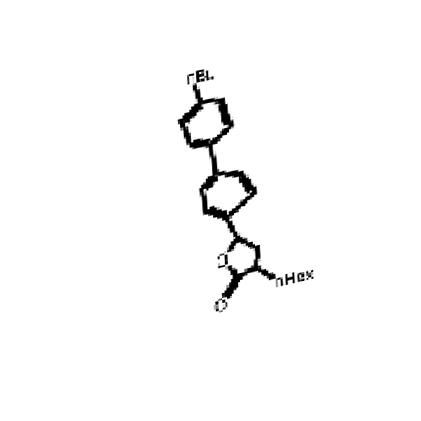 CCCCCCC1CC(c2ccc(-c3ccc(CCCC)cc3)cc2)OC1=O